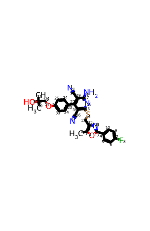 Cc1oc(-c2ccc(F)cc2)nc1CSc1nc(N)c(C#N)c(-c2ccc(OCC(C)(C)O)cc2)c1C#N